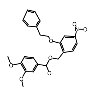 COc1ccc(C([O])OCc2ccc([N+](=O)[O-])cc2OCCc2ccccc2)cc1OC